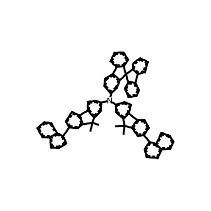 CC1(C)c2cc(-c3cccc4ccccc34)ccc2-c2ccc(N(c3ccc4c(c3)C(C)(C)c3cc(-c5cccc6ccccc56)ccc3-4)c3ccc4c(c3)C3(c5ccccc5-c5ccccc53)c3ccccc3-4)cc21